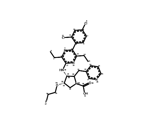 CCc1nc(-c2ccc(Cl)cc2Cl)c(CC)nc1N[C@@H]1C(Cc2cccnc2)N(C(=O)O)C[C@@H]1OCCF